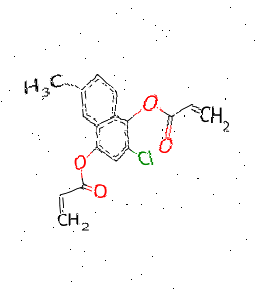 C=CC(=O)Oc1cc(Cl)c(OC(=O)C=C)c2ccc(C)cc12